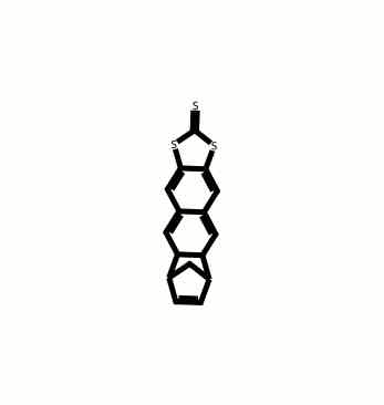 S=c1sc2cc3c(cc2s1)=CC1C2C=CC(C2)C1C=3